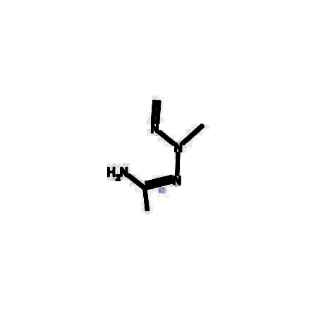 C=NN(C)/N=C(/C)N